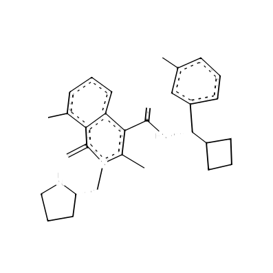 Cc1c(C(=O)N[C@H](c2cccc(F)c2)C2CCC2)c2cccc(F)c2c(=O)n1C[C@@H]1CCCN1